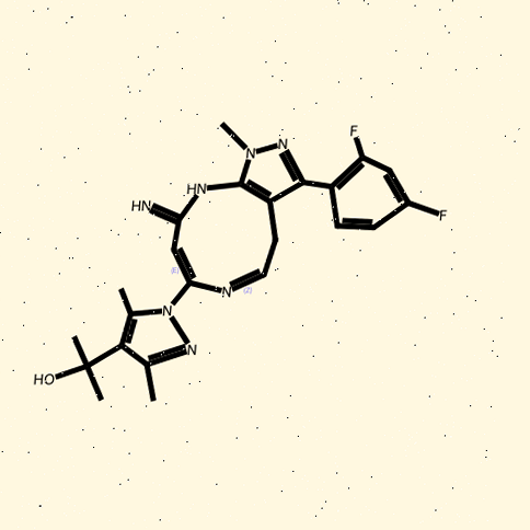 Cc1nn(C2=C/C(=N)Nc3c(c(-c4ccc(F)cc4F)nn3C)C/C=N\2)c(C)c1C(C)(C)O